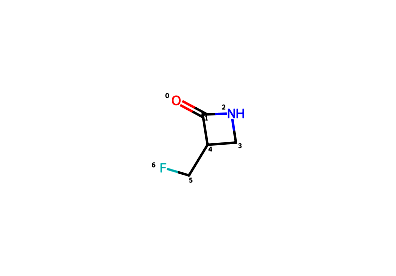 O=C1NCC1CF